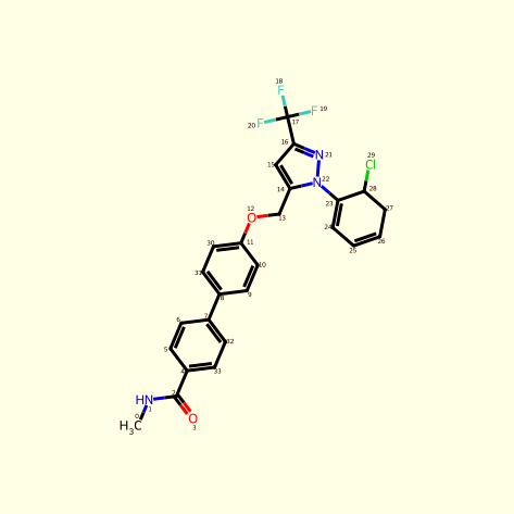 CNC(=O)c1ccc(-c2ccc(OCc3cc(C(F)(F)F)nn3C3=CC=CCC3Cl)cc2)cc1